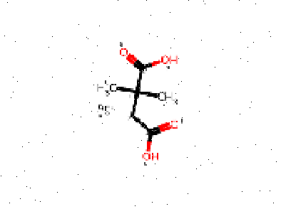 CC(C)(CC(=O)O)C(=O)O.[Ag]